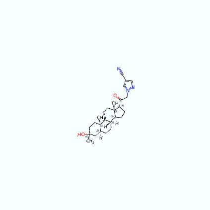 C[C@@]1(O)CC[C@]2(C)C3=CC[C@]4(C)[C@H](C(=O)Cn5cc(C#N)cn5)CC[C@H]4[C@@H]3CC[C@H]2C1